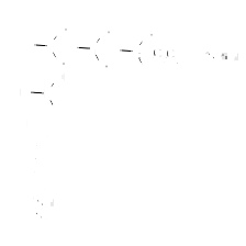 O.O.O.O.O.O.O.O.O.O.OB(O)O.OB(O)O.OB(O)O.OB(O)O.[NaH].[NaH].[NaH].[NaH]